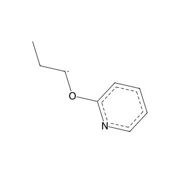 CC[CH]Oc1ccccn1